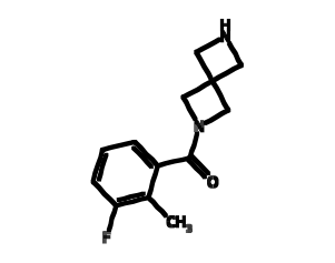 Cc1c(F)cccc1C(=O)N1CC2(CNC2)C1